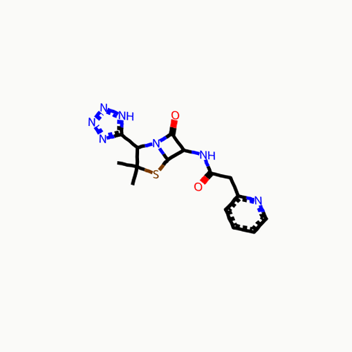 CC1(C)SC2C(NC(=O)Cc3ccccn3)C(=O)N2C1c1nnn[nH]1